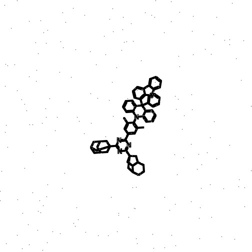 Cc1cc(-c2nc(C34CC5CC(CC(C5)C3)C4)nc(C34CC5CCCC(C3)C5C4)n2)cc(C)c1N1c2ccccc2C(c2ccccc2)(c2cccc3c2sc2ccccc23)c2ccccc21